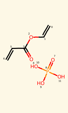 C=COC(=O)C=C.O=P(O)(O)O